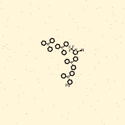 N#Cc1cccc(C(F)(F)F)n1.[Pd].c1ccc(P(c2ccccc2)c2ccccc2)cc1.c1ccc(P(c2ccccc2)c2ccccc2)cc1.c1ccc(P(c2ccccc2)c2ccccc2)cc1.c1ccc(P(c2ccccc2)c2ccccc2)cc1